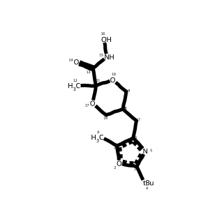 Cc1oc(C(C)(C)C)nc1CC1COC(C)(C(=O)NO)OC1